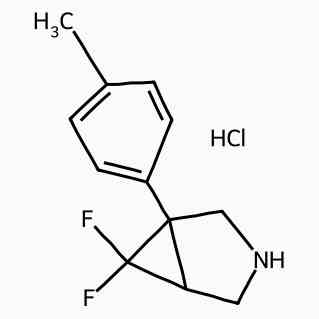 Cc1ccc(C23CNCC2C3(F)F)cc1.Cl